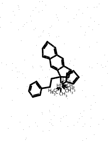 [CH3][Hf]([CH3])([CH3])([CH3])([CH3])([CH3])([CH3])([CH]1C=CC=C1)[C]1(CCc2ccccc2)C=Cc2cc3ccccc3cc21